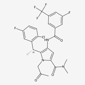 CC(=O)Cn1c(C(=O)N(C)C)cc(NC(=O)c2cc(F)cc(C(F)(F)F)c2)c1[C@H](C)c1cc(F)ccc1Cl